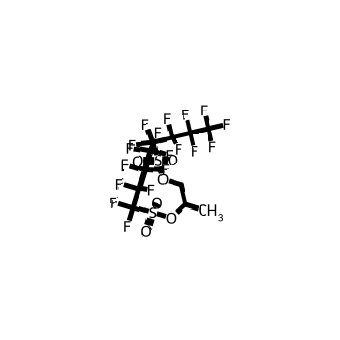 CC(COS(=O)(=O)C(F)(F)C(F)(F)C(F)(F)C(F)(F)F)OS(=O)(=O)C(F)(F)C(F)(F)C(F)(F)C(F)(F)F